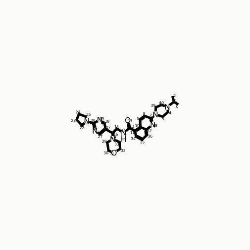 CC(C)N1CCN(c2ccc3c(C(=O)NCC(c4cnc(N5CCCC5)nc4)N4CCOCC4)cccc3n2)CC1